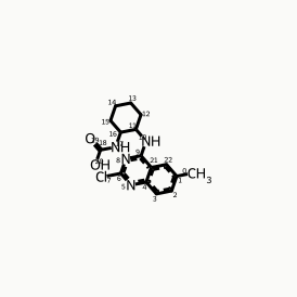 Cc1ccc2nc(Cl)nc(NC3CCCCC3NC(=O)O)c2c1